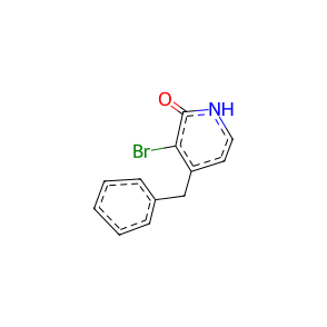 O=c1[nH]ccc(Cc2ccccc2)c1Br